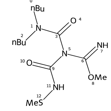 CCCCN(CCCC)C(=O)N(C(=N)OC)C(=O)NSC